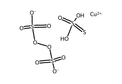 O=S(=O)([O-])OOS(=O)(=O)[O-].O=S(O)(O)=S.[Cu+2]